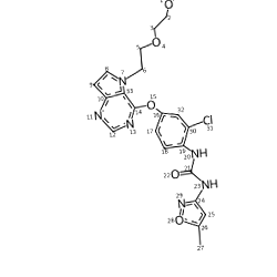 COCCOCCn1ccc2ncnc(Oc3ccc(NC(=O)Nc4cc(C)on4)c(Cl)c3)c21